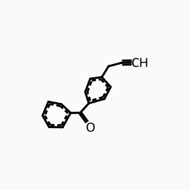 C#CCc1ccc(C(=O)c2ccccc2)cc1